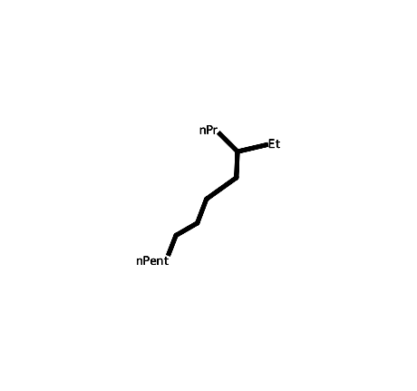 [CH2]CCCCCCCCC(CC)CCC